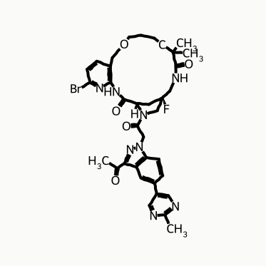 CC(=O)c1nn(CC(=O)N2C[C@@]3(F)CNC(=O)C(C)(C)CCCCOCc4ccc(Br)nc4NC(=O)[C@@H]2C3)c2ccc(-c3cnc(C)nc3)cc12